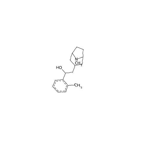 Cc1ccccc1C(O)CC1CC2CCC(C1)N2C